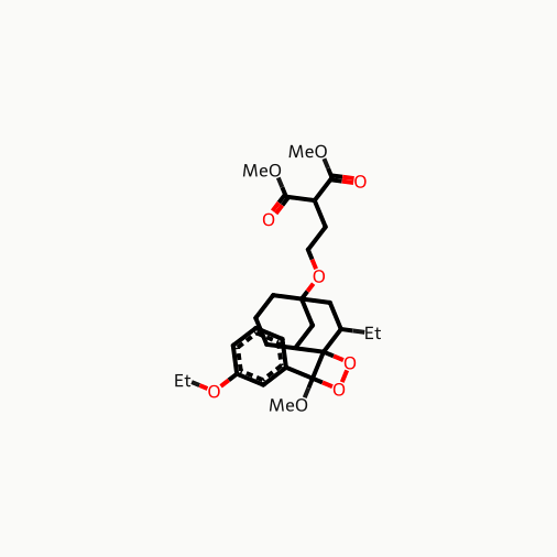 CCOc1cccc(C2(OC)OOC23C(CC)CC2(OCCC(C(=O)OC)C(=O)OC)CCCC3C2)c1